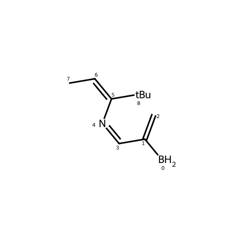 BC(=C)/C=N\C(=C/C)C(C)(C)C